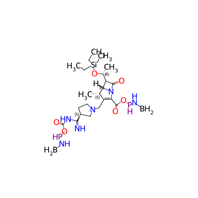 BNPOC(=O)NC(=N)[C@H]1CCN(CC2=C(C(=O)OPNB)N3C(=O)C([C@@H](C)O[Si](CC)(CC)CC)[C@H]3[C@H]2C)C1